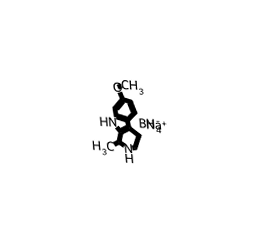 COc1ccc2c3c([nH]c2c1)C(C)NCC3.[BH4-].[Na+]